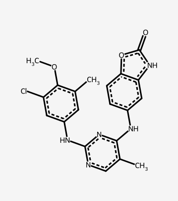 COc1c(C)cc(Nc2ncc(C)c(Nc3ccc4oc(=O)[nH]c4c3)n2)cc1Cl